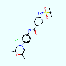 CC1CN(c2ccc(NC(=O)[C@H]3CC[C@H](NS(=O)(=O)C(C)(C)C)CC3)cc2Cl)C[C@@H](C)O1